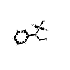 CCN(c1ccccc1)S(C)(=O)=O